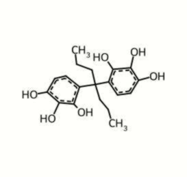 CCCC(CCC)(c1ccc(O)c(O)c1O)c1ccc(O)c(O)c1O